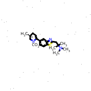 C[C@H]1CC=C(c2ccc3sc(CC(C)(C)N(C)C)nc3c2)N(C(=O)O)C1